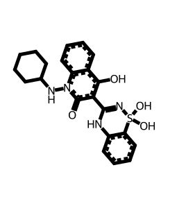 O=c1c(C2=NS(O)(O)c3ccccc3N2)c(O)c2ccccc2n1NC1CCCCC1